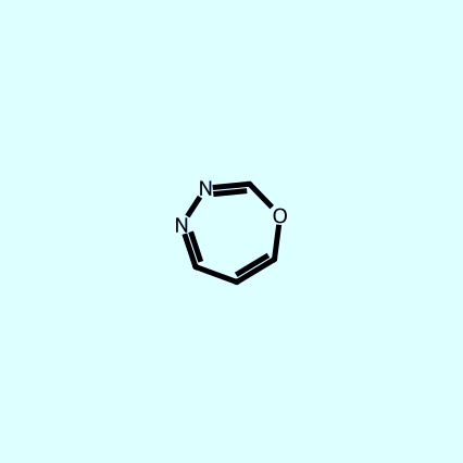 C1=COC=NN=C1